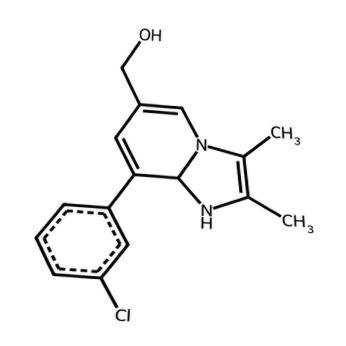 CC1=C(C)N2C=C(CO)C=C(c3cccc(Cl)c3)C2N1